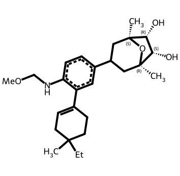 CCC1(C)CC=C(c2cc(C3C[C@@]4(C)O[C@@](C)(C3)[C@H](O)[C@@H]4O)ccc2NCOC)CC1